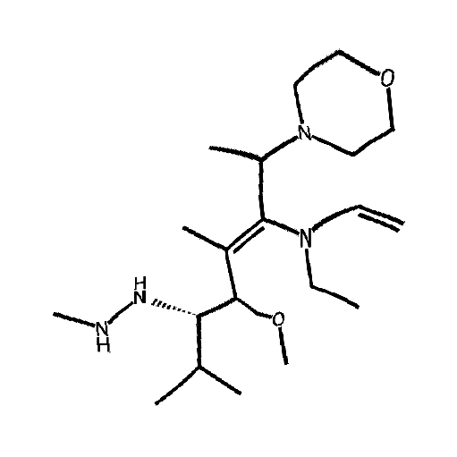 C=CN(CC)/C(=C(/C)C(OC)[C@@H](NNC)C(C)C)C(C)N1CCOCC1